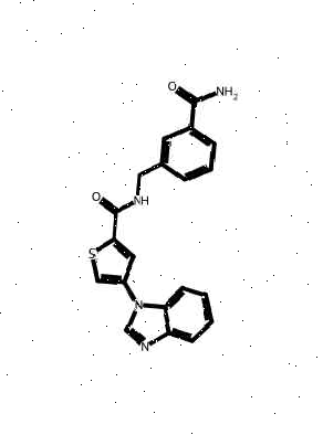 NC(=O)c1cccc(CNC(=O)c2cc(-n3cnc4ccccc43)cs2)c1